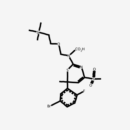 CC1(c2cc(Br)ccc2F)C=C(S(C)(=O)=O)N=C(N(COCC[Si](C)(C)C)C(=O)O)S1